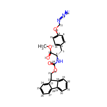 COC(=O)[C@H](Cc1ccc(OCN=[N+]=[N-])cc1)NC(=O)OCC1c2ccccc2-c2ccccc21